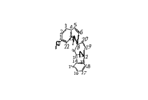 Fc1ccc2ccn(C3CCN(Cc4ccccc4)CC3)c2c1